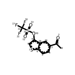 CC(=O)c1ccc2scc(OS(=O)(=O)C(F)(F)F)c2c1